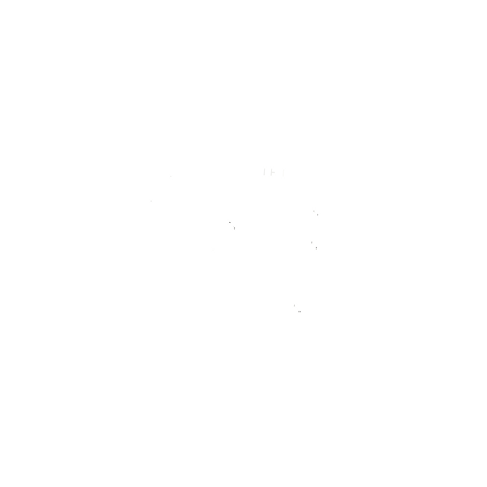 Cl.O=C1CC2(CC2)CN1c1cnn2c1CNCC2